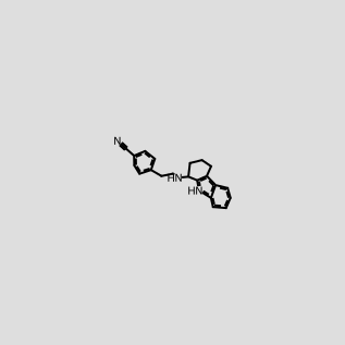 N#Cc1ccc(CCNC2CCCc3c2[nH]c2ccccc32)cc1